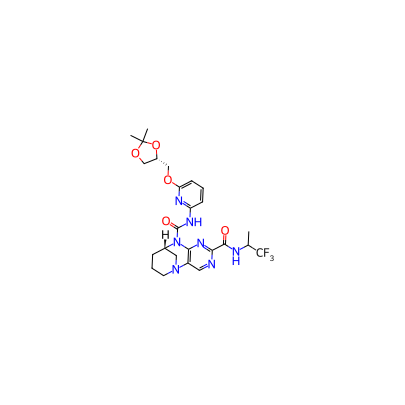 CC(NC(=O)c1ncc2c(n1)N(C(=O)Nc1cccc(OC[C@@H]3COC(C)(C)O3)n1)[C@H]1CCCN2C1)C(F)(F)F